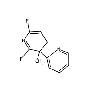 CC1(c2ccccn2)CC=C(F)N=C1F